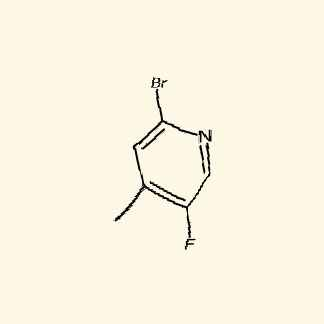 Cc1cc(Br)ncc1F